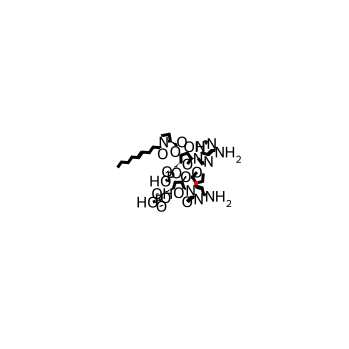 CCCC/C=C/CCC(=O)N1CC[C@H]1C(=O)O[C@H]1[C@@H](O)[C@H](n2cnc3c(N)ncnc32)O[C@@H]1COP(=O)(O)[C@H]1[C@@H](OC2CCCO2)[C@H](n2ccc(N)nc2=O)O[C@@H]1COP(=O)(O)O